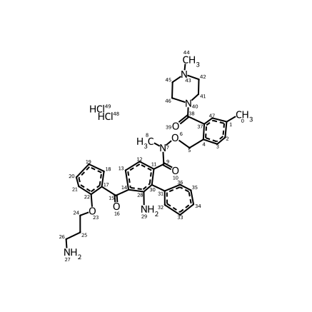 Cc1ccc(CON(C)C(=O)c2ccc(C(=O)c3ccccc3OCCCN)c(N)c2-c2ccccc2)c(C(=O)N2CCN(C)CC2)c1.Cl.Cl